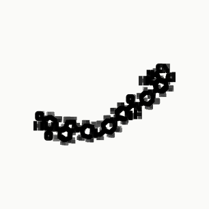 N#Cc1n[nH]c2c(N3CCC(NC(=O)c4ccc(N5CCC(CN6CCC(n7ccc8c(N9CCC(=O)NC9=O)cccc87)CC6)CC5)cn4)CC3)ccc(Cl)c12